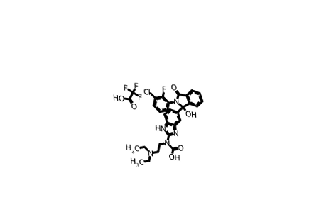 CCN(CC)CCN(C(=O)O)c1nc2cc(C3(O)c4ccccc4C(=O)N3c3cccc(Cl)c3F)ccc2[nH]1.O=C(O)C(F)(F)F